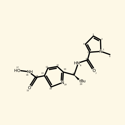 Cn1cccc1C(=O)N[C@H](c1ccc(C(=O)NO)cn1)C(C)(C)C